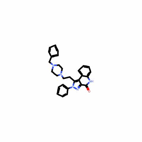 O=c1[nH]c2ccccc2c2c(CCN3CCN(Cc4ccccc4)CC3)n(-c3ccccc3)nc12